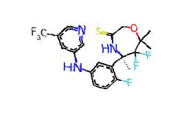 CC1(C)OCC(=S)N[C@](C)(c2cc(Nc3cncc(C(F)(F)F)c3)ccc2F)C1(F)F